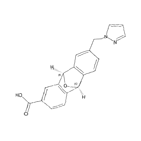 O=C(O)c1ccc2c(c1)[C@@H]1O[C@H]2c2ccc(Cn3cccn3)cc21